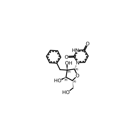 O=c1ccn([C@@H]2O[C@H](CO)[C@@H](O)[C@]2(O)Cc2ccccc2)c(=O)[nH]1